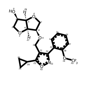 O[C@@H]1CO[C@H]2[C@@H]1OC[C@H]2OCc1c(-c2ccccc2OC(F)(F)F)noc1C1CC1